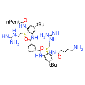 CCCCCC(=O)Nc1cc(C(C)(C)C)cc(NC(=O)c2cccc(C(=O)Nc3cc(C(C)(C)C)cc(NC(=O)CCCCN)c3SCCNC(=N)N)c2)c1SCCNC(=N)N